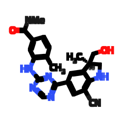 CNC(=O)c1ccc(C)c(Nc2ncnc(-c3cc(C#N)c4c(c3)[C@@](C)(CO)CN4)n2)c1